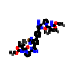 COC(=O)N[C@H](C(=O)N1CCC[C@H]1c1nc(-c2ccc(-c3ccc(-c4c[nH]c([C@@H]5CCCN5C(=O)[C@@H](NC(=O)OC)C(C)C)n4)c4nsnc34)cc2)c[nH]1)C(C)C